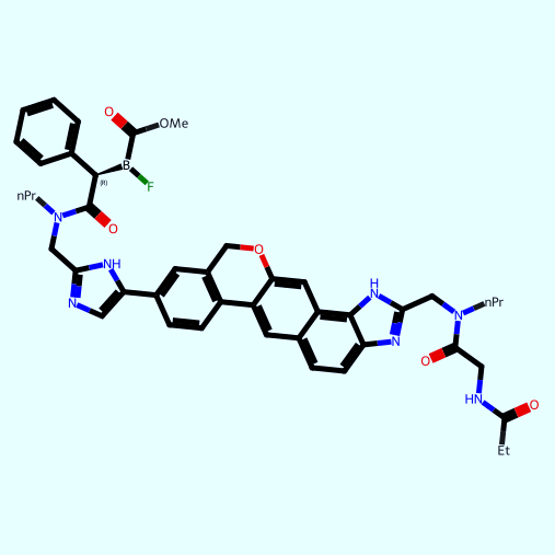 CCCN(Cc1nc2ccc3cc4c(cc3c2[nH]1)OCc1cc(-c2cnc(CN(CCC)C(=O)[C@H](B(F)C(=O)OC)c3ccccc3)[nH]2)ccc1-4)C(=O)CNC(=O)CC